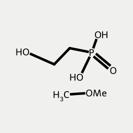 COC.O=P(O)(O)CCO